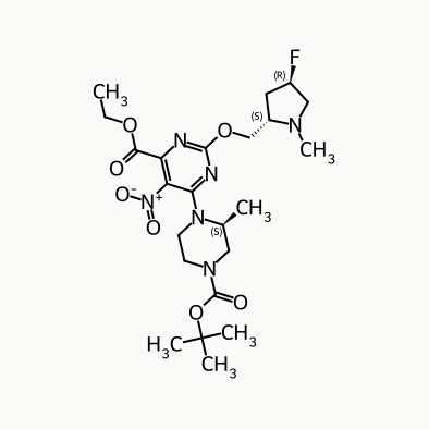 CCOC(=O)c1nc(OC[C@@H]2C[C@@H](F)CN2C)nc(N2CCN(C(=O)OC(C)(C)C)C[C@@H]2C)c1[N+](=O)[O-]